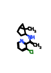 C=C(NC1CCC2CC21C)c1ncccc1Cl